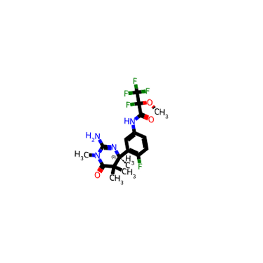 COC(F)(C(=O)Nc1ccc(F)c([C@]2(C)N=C(N)N(C)C(=O)C2(C)C)c1)C(F)(F)F